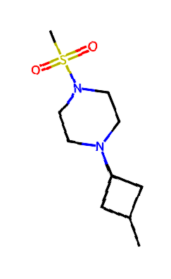 CC1CC(N2CCN(S(C)(=O)=O)CC2)C1